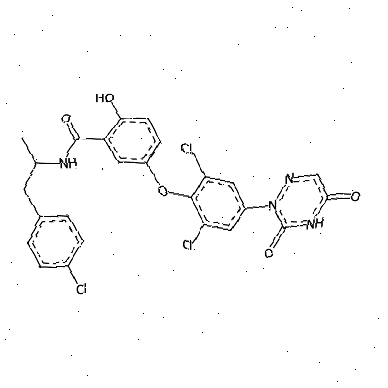 CC(Cc1ccc(Cl)cc1)NC(=O)c1cc(Oc2c(Cl)cc(-n3ncc(=O)[nH]c3=O)cc2Cl)ccc1O